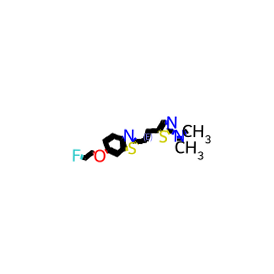 CN(C)c1ncc(/C=C/c2nc3ccc(OCCF)cc3s2)s1